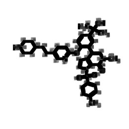 Cc1ccc(S(=O)(=O)n2ccc3c(-c4cc(C(C)(C)O)ccc4Oc4ccc(CCC5CCNCC5)cn4)cn(C)c(=O)c32)cc1